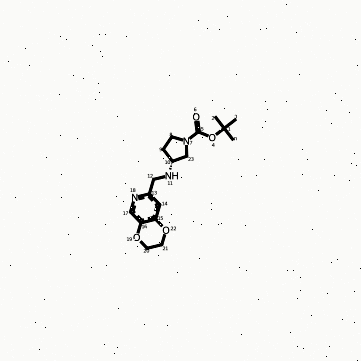 CC(C)(C)OC(=O)N1CC[C@@H](NCc2cc3c(cn2)OCCO3)C1